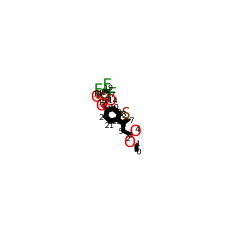 CCOC(=O)Cc1csc2cc(OS(=O)(=O)C(F)(F)F)ccc12